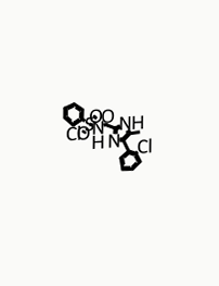 Cc1[nH]c(C(=O)NS(=O)(=O)c2ccccc2Cl)nc1-c1ccccc1Cl